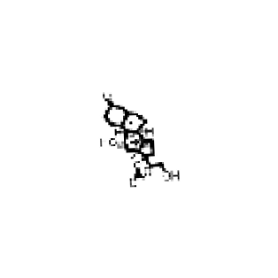 CC(=O)O[C@@]1(C(=O)CO)CC[C@H]2[C@@H]3CCC4CC(=O)CC[C@]4(C)[C@H]3[C@@H](O)C[C@@]21C